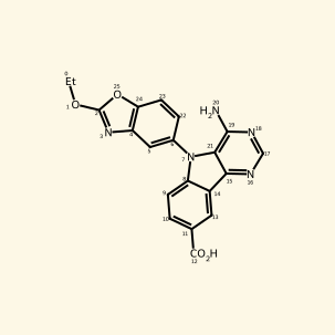 CCOc1nc2cc(-n3c4ccc(C(=O)O)cc4c4ncnc(N)c43)ccc2o1